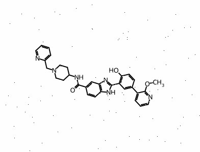 COc1ncccc1-c1ccc(O)c(-c2nc3cc(C(=O)NC4CCN(Cc5ccccn5)CC4)ccc3[nH]2)c1